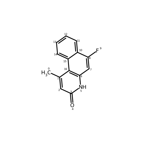 Cc1cc(=O)[nH]c2cc(F)c3ccccc3c12